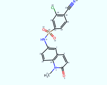 Cn1c(=O)ccc2cc(NS(=O)(=O)c3ccc(C#N)c(Cl)c3)ccc21